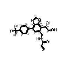 C=CC(=O)NCc1cc(-c2ccc(C(F)(F)F)cc2)c2ncoc2c1[C@@H](O)CO